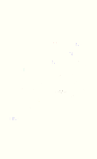 COc1c(-c2cc3c(s2)CNC3)c(F)cn2c(=O)n(N)c(=O)c(C3CC3)c12